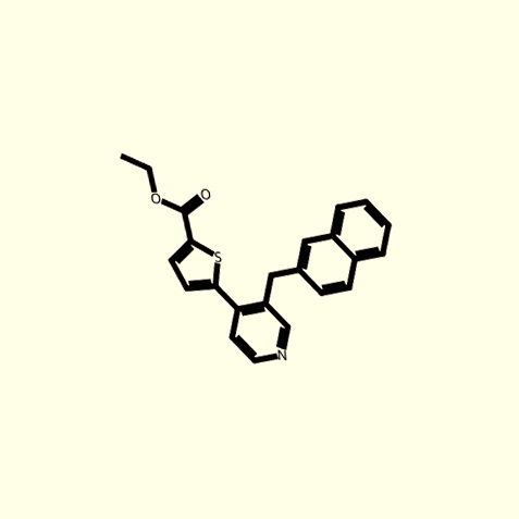 CCOC(=O)c1ccc(-c2ccncc2Cc2ccc3ccccc3c2)s1